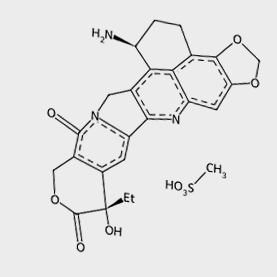 CC[C@@]1(O)C(=O)OCc2c1cc1n(c2=O)Cc2c-1nc1cc3c(c4c1c2[C@@H](N)CC4)OCO3.CS(=O)(=O)O